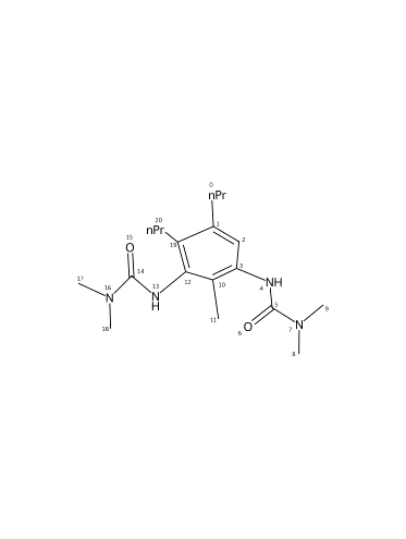 CCCc1cc(NC(=O)N(C)C)c(C)c(NC(=O)N(C)C)c1CCC